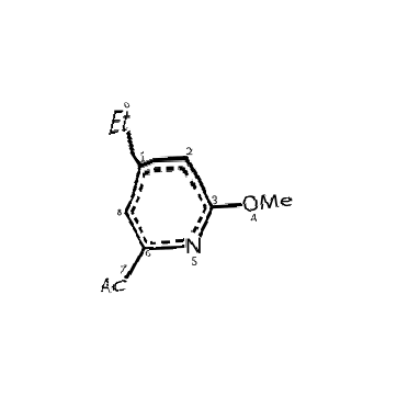 CCc1cc(OC)nc(C(C)=O)c1